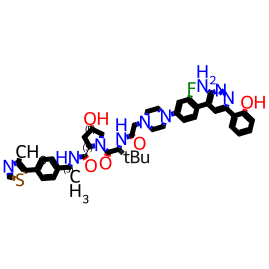 Cc1ncsc1-c1ccc([C@H](C)NC(=O)[C@@H]2C[C@@H](O)CN2C(=O)C(NC(=O)CN2CCN(c3ccc(-c4cc(-c5ccccc5O)nnc4N)c(F)c3)CC2)C(C)(C)C)cc1